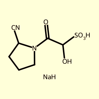 N#CC1CCCN1C(=O)C(O)S(=O)(=O)O.[NaH]